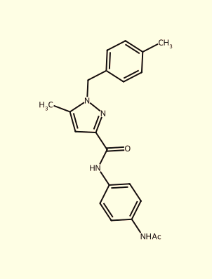 CC(=O)Nc1ccc(NC(=O)c2cc(C)n(Cc3ccc(C)cc3)n2)cc1